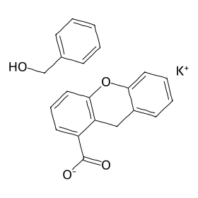 O=C([O-])c1cccc2c1Cc1ccccc1O2.OCc1ccccc1.[K+]